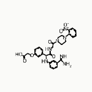 N=C(N)c1cccc(NC(C(=O)NCC(=O)N2CCN(c3ccccc3[N+](=O)[O-])CC2)c2cccc(OCC(=O)O)c2)c1